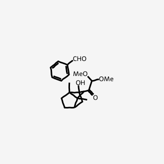 COC(OC)C(=O)C1(O)CC2CCC1(C)C2(C)C.O=Cc1ccccc1